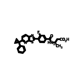 C[C@@H](CC(=O)O)NC(=O)c1ccc(-c2nc3ccc(C4(c5ccccc5)CC4)nc3s2)c(F)c1